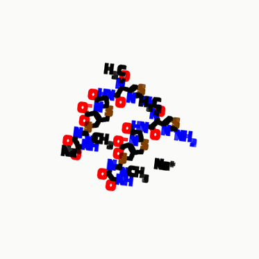 CON=C(C(=O)NC1C(=O)N2C(C(=O)[O-])=C(CSc3nc(=O)c(=O)[nH]n3C)CSC12)c1csc(N)n1.CON=C(C(=O)NC1C(=O)N2C(C(=O)[O-])=C(CSc3nc(=O)c(=O)[nH]n3C)CSC12)c1csc(N)n1.[Na+].[Na+]